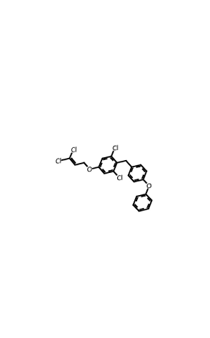 ClC(Cl)=CCOc1cc(Cl)c(Cc2ccc(Oc3ccccc3)cc2)c(Cl)c1